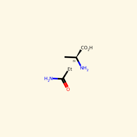 CCC(N)=O.C[C@H](N)C(=O)O